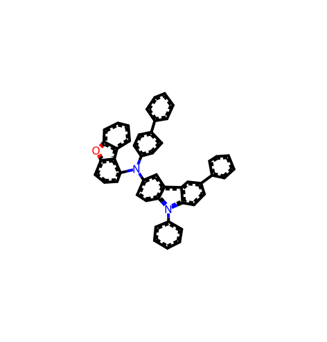 c1ccc(-c2ccc(N(c3ccc4c(c3)c3cc(-c5ccccc5)ccc3n4-c3ccccc3)c3cccc4oc5ccccc5c34)cc2)cc1